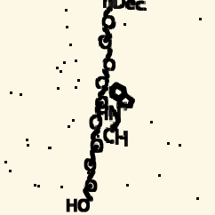 C#CCN[C@@H]1CCc2ccccc21.CCCCCCCCCCCCOCCOCCOCCOCCOCCOCCOCCOCCOCCO